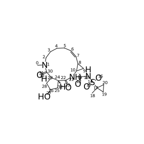 CN1CCCC/C=C\C2C[C@@]2(C(=O)NS(=O)(=O)C2(C)CC2)NC(=O)[C@@H]2C[C@@H](O)C[C@H]2C1=O